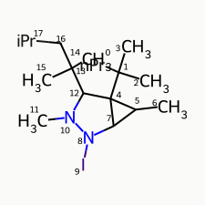 CCCC(C)(C)C12C(C)C1N(I)N(C)C2C(C)(C)CC(C)C